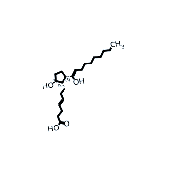 CCCCCCCCC=C(O)[C@H]1CC[C@H](O)[C@H]1CCC=CCCC(=O)O